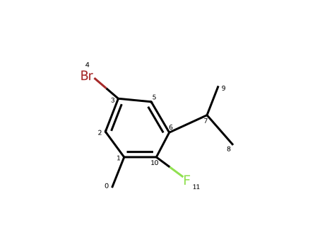 Cc1cc(Br)cc(C(C)C)c1F